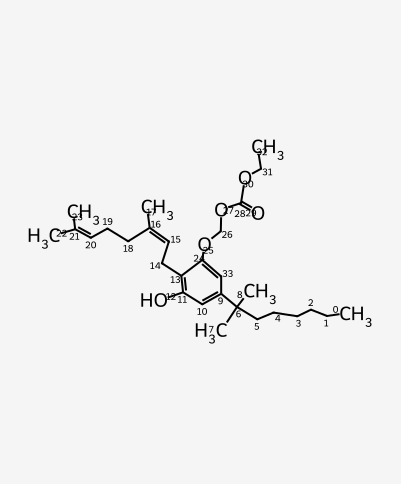 CCCCCCC(C)(C)c1cc(O)c(CC=C(C)CCC=C(C)C)c(OCOC(=O)OCC)c1